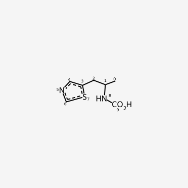 CC(Cc1cncs1)NC(=O)O